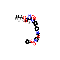 CC(C)(C)OC(=O)CCC(C(N)=O)N1Cc2cc(C3CCC(N4CC(OC5CCN(C(=O)OCc6ccccc6)CC5)C4)CC3)ccc2C1=O